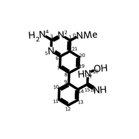 CNc1nc(N)nc2cc(-c3ccccc3C(=N)NO)ccc12